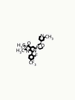 Cc1cc([C@@H]2CN(c3cc4c(=O)n(C)c(C)nc4c(-c4ccc(C(F)(F)F)cc4F)n3)CCO2)ccn1